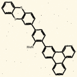 CNc1cc(-c2ccc3c(c2)Sc2ccccc2S3)ccc1-c1ccc2c3ccccc3c3ccccc3c2c1